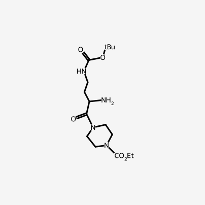 CCOC(=O)N1CCN(C(=O)C(N)CCNC(=O)OC(C)(C)C)CC1